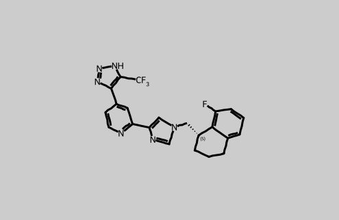 Fc1cccc2c1[C@@H](Cn1cnc(-c3cc(-c4nn[nH]c4C(F)(F)F)ccn3)c1)CCC2